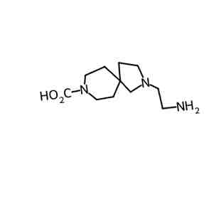 NCCN1CCC2(CCN(C(=O)O)CC2)C1